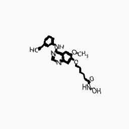 C#Cc1cccc(Nc2ncnc3cc(OCCCCCC(=O)NO)c(OC)cc23)c1